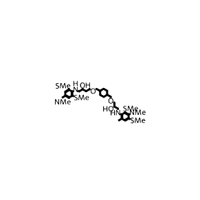 CNc1c(C)cc(SC)c(NCC(O)CCOCC2CCC(COCC(O)CNc3c(C)cc(SC)c(NC)c3SC)CC2)c1SC